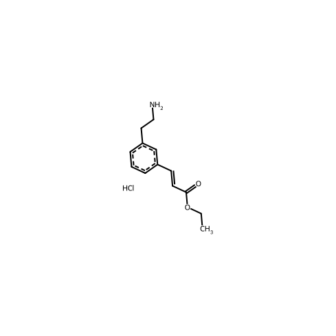 CCOC(=O)C=Cc1cccc(CCN)c1.Cl